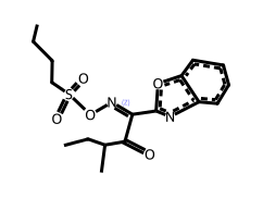 CCCCS(=O)(=O)O/N=C(\C(=O)C(C)CC)c1nc2ccccc2o1